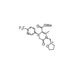 COC(=O)C1=C(C)N(C[C@H]2CCCO2)C(=O)C[C@H]1c1ccc(C(F)(F)F)nc1